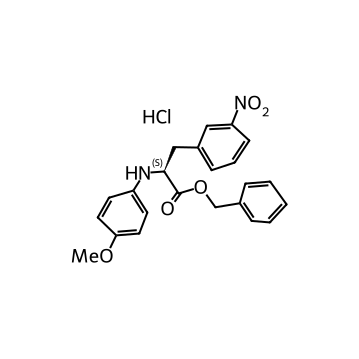 COc1ccc(N[C@@H](Cc2cccc([N+](=O)[O-])c2)C(=O)OCc2ccccc2)cc1.Cl